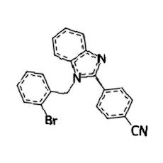 N#Cc1ccc(-c2nc3ccccc3n2Cc2ccccc2Br)cc1